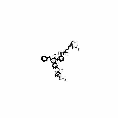 CN(C)CCCC(=O)Nc1cccc(N2C(=O)N(Cc3ccccc3)Cc3cnc(Nc4cn(C)nn4)nc32)c1